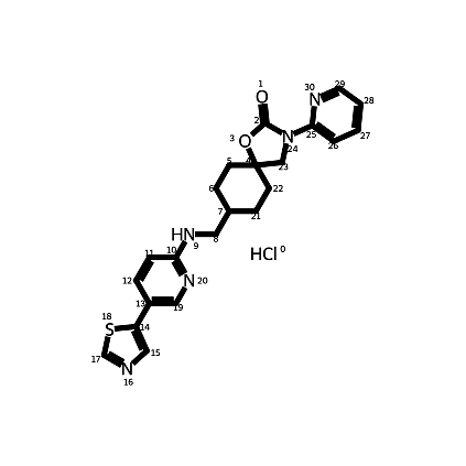 Cl.O=C1OC2(CCC(CNc3ccc(-c4cncs4)cn3)CC2)CN1c1ccccn1